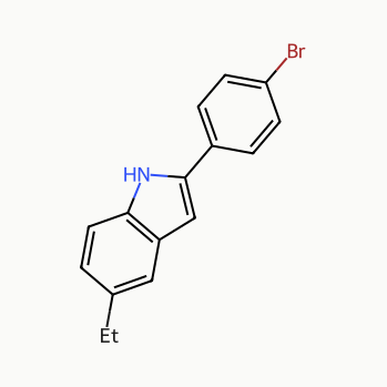 CCc1ccc2[nH]c(-c3ccc(Br)cc3)cc2c1